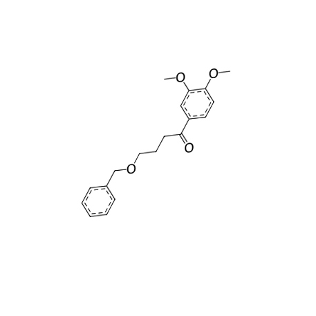 COc1ccc(C(=O)CCCOCc2ccccc2)cc1OC